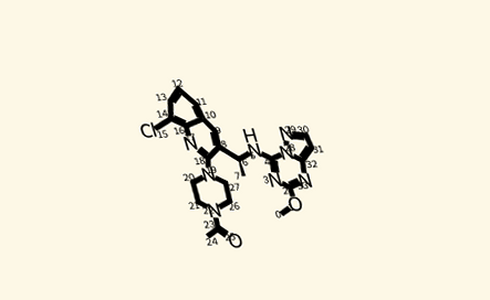 COc1nc(N[C@@H](C)c2cc3cccc(Cl)c3nc2N2CCN(C(C)=O)CC2)n2nccc2n1